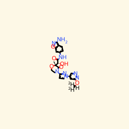 [2H]C([2H])([2H])Oc1cc(-n2ccc(N3CCO[C@](C)([C@@H](O)C(=O)Nc4ccc5c(N)noc5c4)C3=O)n2)cnn1